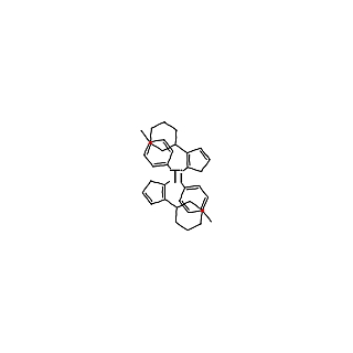 Cc1cc[c]([Ti]([C]2=C(C3CCCCC3)C=CC2)([C]2=C(C3CCCCC3)C=CC2)[c]2ccc(C)cc2)cc1